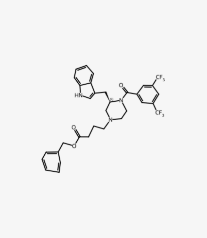 O=C(CCCN1CCN(C(=O)c2cc(C(F)(F)F)cc(C(F)(F)F)c2)[C@H](Cc2c[nH]c3ccccc23)C1)OCc1ccccc1